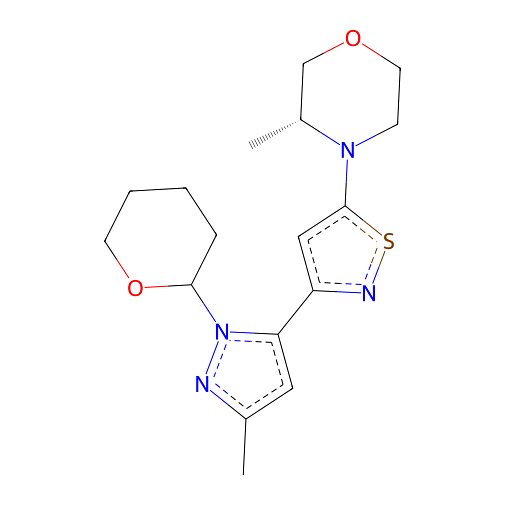 Cc1cc(-c2cc(N3CCOC[C@H]3C)sn2)n(C2CCCCO2)n1